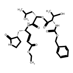 CCOC(=O)/C=C/[C@H](C[C@@H]1CCNC1=O)NC(=O)[C@H](CC(C)C)OC(=O)[C@@H](NC(=O)OCc1ccccc1)C(C)O